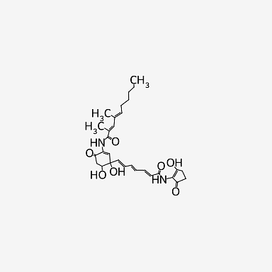 CCCCC/C=C(C)/C=C(\C)C(=O)NC1=CC(O)(/C=C/C=C/C=C/C(=O)NC2=C(O)CCC2=O)C(O)CC1=O